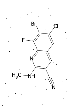 CNc1nc2c(F)c(Br)c(Cl)cc2cc1C#N